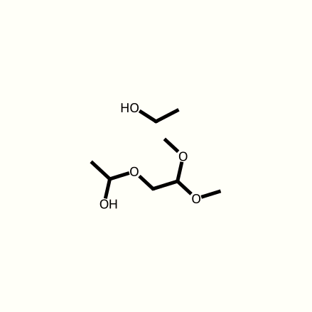 CCO.COC(COC(C)O)OC